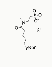 CCCCCCCCCCCCCC(=O)N(C)CCS(=O)(=O)[O-].[K+]